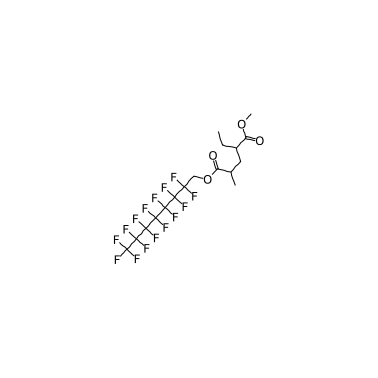 CCC(CC(C)C(=O)OCC(F)(F)C(F)(F)C(F)(F)C(F)(F)C(F)(F)C(F)(F)C(F)(F)F)C(=O)OC